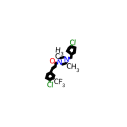 CC1CN(C(=O)/C=C/c2ccc(Cl)c(C(F)(F)F)c2)C(C)CN1Cc1ccc(Cl)cc1